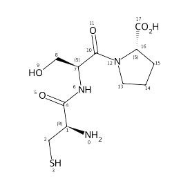 N[C@@H](CS)C(=O)N[C@@H](CO)C(=O)N1CCC[C@H]1C(=O)O